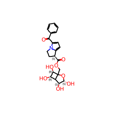 O=C(c1ccccc1)c1ccc2n1CC[C@@H]2C(=O)OCC12O[C@H](O)[C@@H](O)C1[C@@H](O)[C@H]2O